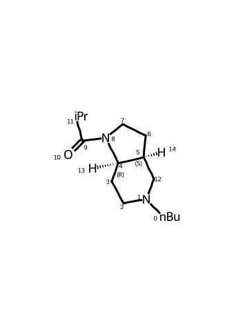 CCCCN1CC[C@@H]2[C@@H](CCN2C(=O)C(C)C)C1